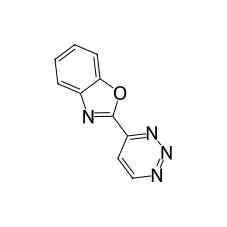 c1ccc2oc(-c3ccnnn3)nc2c1